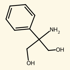 NC(CO)(CO)c1ccccc1